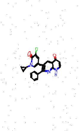 O=c1cc[nH]c2nc(-c3ccccc3)c(-c3cc(Cl)c(=O)n(C4CC4)c3)cc12